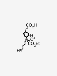 CCOC(=O)[C@H](C)N(CCCCS)c1ccc(CCC(=O)O)cc1